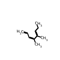 C=CC=C(C)C(C)=CCC